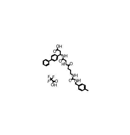 Cc1ccc(CNC(=O)NCCCC(=O)NCC(=O)NC(CC(=O)O)c2ccc(-c3ccccc3)cc2)cc1.O=C(O)C(F)(F)F